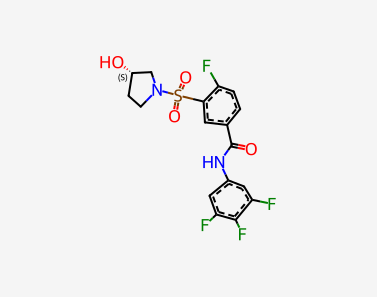 O=C(Nc1cc(F)c(F)c(F)c1)c1ccc(F)c(S(=O)(=O)N2CC[C@H](O)C2)c1